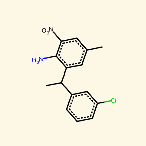 Cc1cc(C(C)c2cccc(Cl)c2)c(N)c([N+](=O)[O-])c1